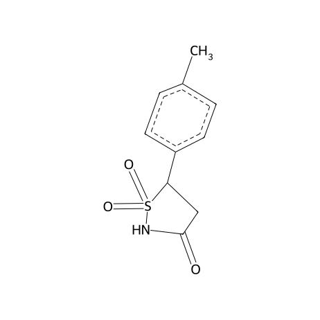 Cc1ccc(C2CC(=O)NS2(=O)=O)cc1